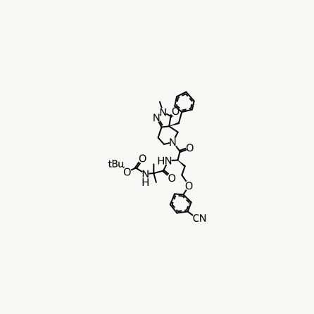 CN1N=C2CCN(C(=O)[C@@H](CCOc3cccc(C#N)c3)NC(=O)C(C)(C)NC(=O)OC(C)(C)C)C[C@@]2(Cc2ccccc2)C1=O